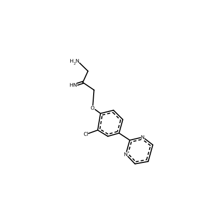 N=C(CN)COc1ccc(-c2ncccn2)cc1Cl